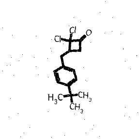 CC(C)(C)c1ccc(CC2CC(=O)C2(Cl)Cl)cc1